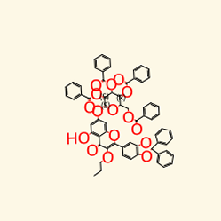 CCCOc1c(-c2ccc3c(c2)OC(c2ccccc2)(c2ccccc2)O3)oc2cc(O[C@@H]3OC(COC(=O)c4ccccc4)[C@@H](OC(=O)c4ccccc4)C(OC(=O)c4ccccc4)[C@@H]3OC(=O)c3ccccc3)cc(O)c2c1=O